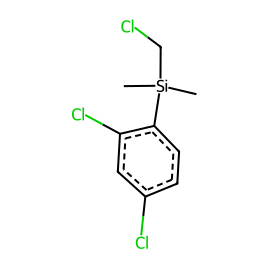 C[Si](C)(CCl)c1ccc(Cl)cc1Cl